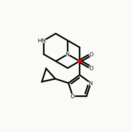 O=C1CC2CNCC(C1)N2C(=O)c1ncoc1C1CC1